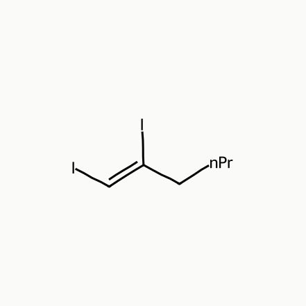 CCCCC(I)=CI